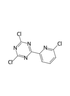 Clc1cccc(-c2nc(Cl)nc(Cl)n2)n1